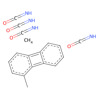 C.Cc1cccc2c1=c1ccccc1=2.N=C=O.N=C=O.N=C=O.N=C=O